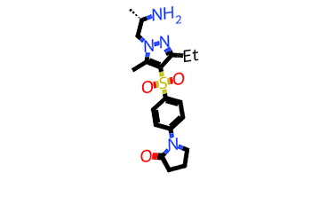 CCc1nn(C[C@H](C)N)c(C)c1S(=O)(=O)c1ccc(N2CCCC2=O)cc1